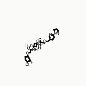 CC1(NC(=O)COCc2ccc(-n3cccn3)nc2)CC(C)(NC(=O)COc2ccc(Cl)c(F)c2)C1